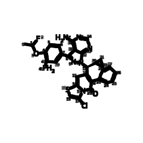 CC(F)Oc1ccc(-c2nn([C@H](c3cc4scc(Cl)n4c(=O)c3-c3ccccc3)C3CC3)c3ncnc(N)c23)cc1P